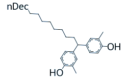 CCCCCCCCCCCCCCCCCCC(c1ccc(O)c(C)c1)c1ccc(O)c(C)c1